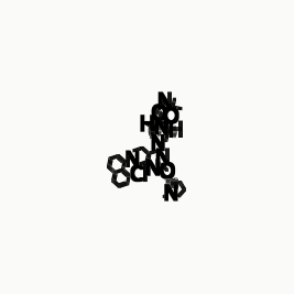 CN1CCC[C@H]1COc1nc2c(c(N3C[C@H]4C[C@@H](CC#N)[C@@H](C3)N4C(=O)OC(C)(C)C)n1)CCN(c1cccc3cccc(Cl)c13)C2